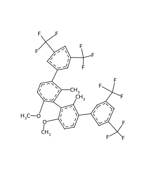 COc1ccc(-c2cc(C(F)(F)F)cc(C(F)(F)F)c2)c(C)c1-c1c(OC)ccc(-c2cc(C(F)(F)F)cc(C(F)(F)F)c2)c1C